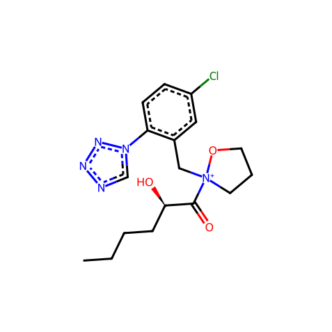 CCCC[C@@H](O)C(=O)[N+]1(Cc2cc(Cl)ccc2-n2cnnn2)CCCO1